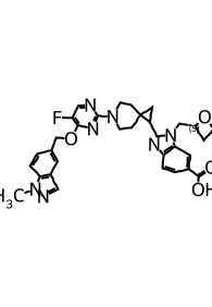 Cn1ncc2cc(COc3nc(N4CCC5(CC4)CC5c4nc5ccc(C(=O)O)cc5n4C[C@@H]4CCO4)ncc3F)ccc21